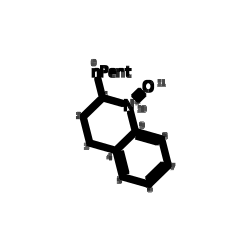 CCCCCC1CCc2ccccc2[N+]1=O